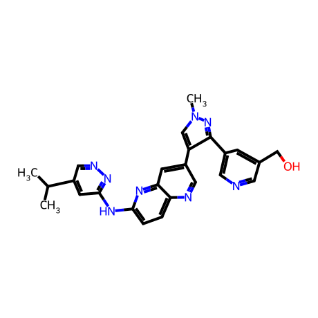 CC(C)c1cnnc(Nc2ccc3ncc(-c4cn(C)nc4-c4cncc(CO)c4)cc3n2)c1